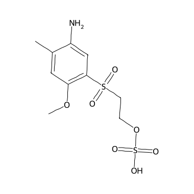 COc1cc(C)c(N)cc1S(=O)(=O)CCOS(=O)(=O)O